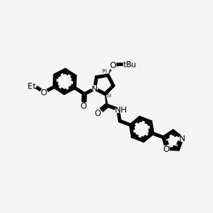 CCOc1cccc(C(=O)N2C[C@H](OC(C)(C)C)C[C@H]2C(=O)NCc2ccc(-c3cnco3)cc2)c1